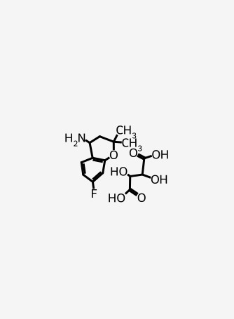 CC1(C)CC(N)c2ccc(F)cc2O1.O=C(O)C(O)C(O)C(=O)O